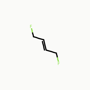 FCC=CCF